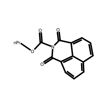 CCCOC(=O)N1C(=O)c2cccc3cccc(c23)C1=O